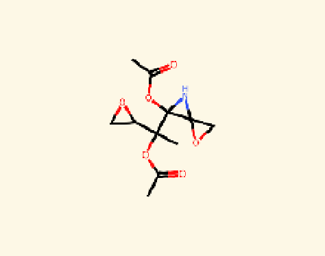 CC(=O)OC(C)(C1CO1)C1(OC(C)=O)NC12CO2